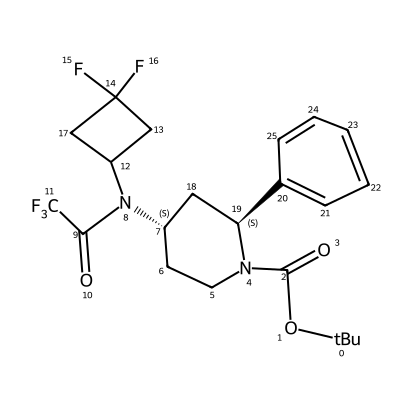 CC(C)(C)OC(=O)N1CC[C@H](N(C(=O)C(F)(F)F)C2CC(F)(F)C2)C[C@H]1c1ccccc1